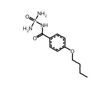 CCCCOc1ccc(C(=O)NP(N)(N)=O)cc1